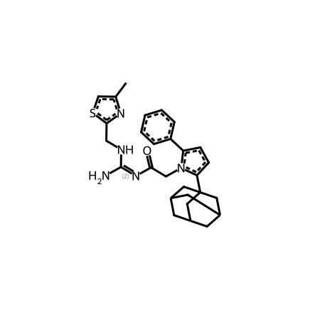 Cc1csc(CN/C(N)=N\C(=O)Cn2c(-c3ccccc3)ccc2C23CC4CC(CC(C4)C2)C3)n1